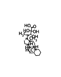 C[C@H](C(O)C(O)(O)C(=O)O)[C@H]1CC[C@H]2[C@@H]3CCC4CCCC[C@]4(C)[C@H]3CC[C@]12C